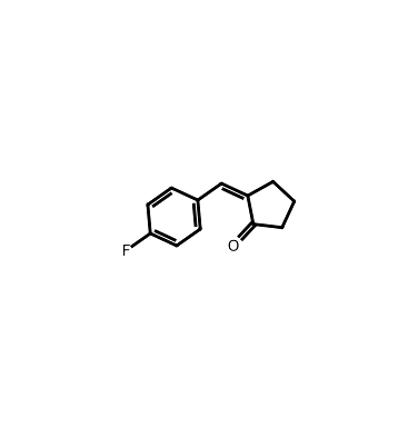 O=C1CCCC1=Cc1ccc(F)cc1